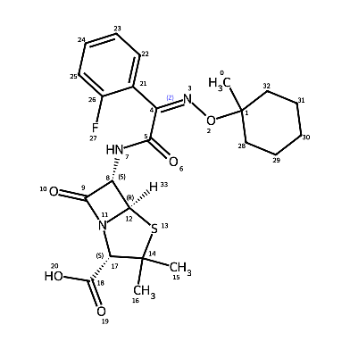 CC1(O/N=C(\C(=O)N[C@H]2C(=O)N3[C@@H]2SC(C)(C)[C@@H]3C(=O)O)c2ccccc2F)CCCCC1